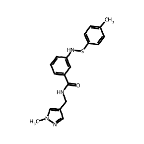 Cc1ccc(SNc2cccc(C(=O)NCc3cnn(C)c3)c2)cc1